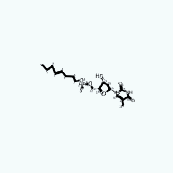 CCCCCCCCO[PH](=S)OC[C@H]1O[C@@H](n2cc(C)c(=O)[nH]c2=O)C[C@H]1O